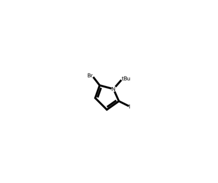 CC(C)(C)n1c(Br)ccc1I